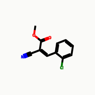 COC(=O)C(C#N)=Cc1ccccc1Cl